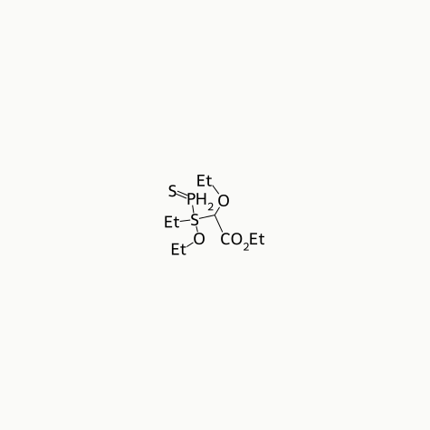 CCOC(=O)C(OCC)S(CC)(OCC)[PH2]=S